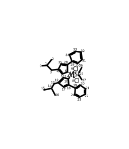 CC(C)CC1=C[CH]([Zr]([Cl])([Cl])([CH]2C=C(CC(C)C)C=C2c2ccccc2)[SiH](C)C)C(c2ccccc2)=C1